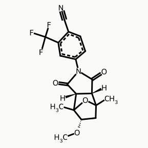 CO[C@H]1CC2(C)OC1(C)[C@@H]1C(=O)N(c3ccc(C#N)c(C(F)(F)F)c3)C(=O)[C@@H]12